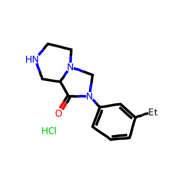 CCc1cccc(N2CN3CCNCC3C2=O)c1.Cl